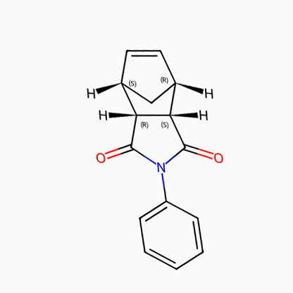 O=C1[C@@H]2[C@H](C(=O)N1c1ccccc1)[C@@H]1C=C[C@H]2C1